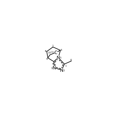 Cc1nnc2n1C1CCC2CC1